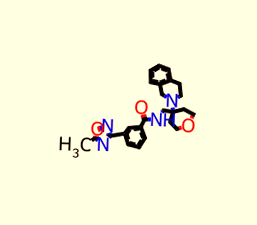 Cc1nc(-c2cccc(C(=O)NCC3(N4CCc5ccccc5C4)CCOCC3)c2)no1